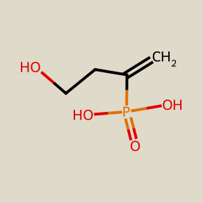 C=C(CCO)P(=O)(O)O